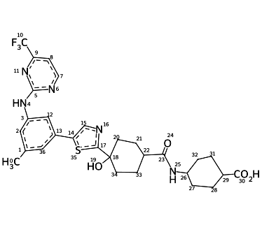 Cc1cc(Nc2nccc(C(F)(F)F)n2)cc(-c2cnc(C3(O)CCC(C(=O)NC4CCC(C(=O)O)CC4)CC3)s2)c1